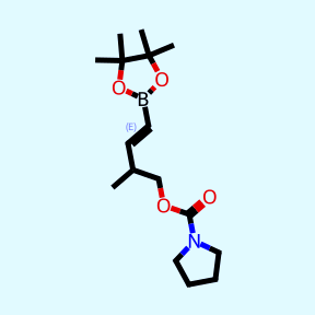 CC(/C=C/B1OC(C)(C)C(C)(C)O1)COC(=O)N1CCCC1